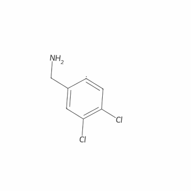 NCc1[c]cc(Cl)c(Cl)c1